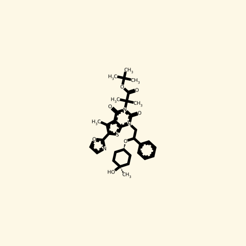 Cc1c(-c2ncco2)sc2c1c(=O)n(C(C)(C)C(=O)OC(C)(C)C)c(=O)n2CC(O[C@H]1CC[C@](C)(O)CC1)c1ccccc1